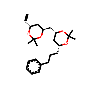 C=C[C@@H]1C[C@@H](C[C@H]2C[C@@H](CCCc3ccccc3)OC(C)(C)O2)OC(C)(C)O1